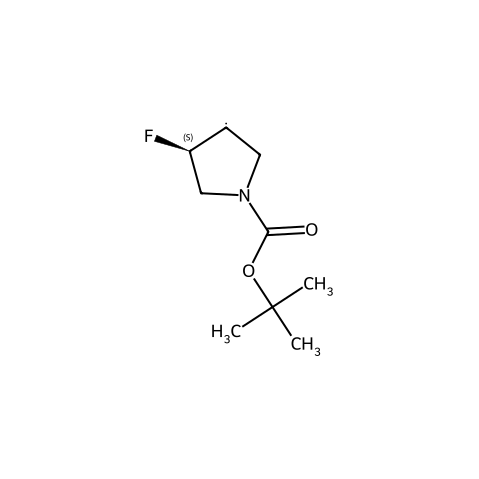 CC(C)(C)OC(=O)N1C[CH][C@H](F)C1